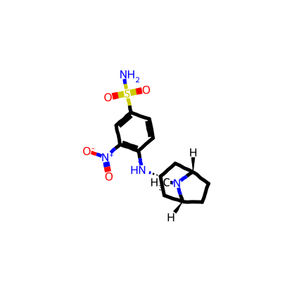 CN1[C@@H]2CC[C@H]1C[C@@H](Nc1ccc(S(N)(=O)=O)cc1[N+](=O)[O-])C2